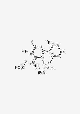 CC(C)(C)[S+]=O.Cc1cc(-c2c(F)cccc2F)c(F)c([C@@H](N)CC(=O)O)c1F